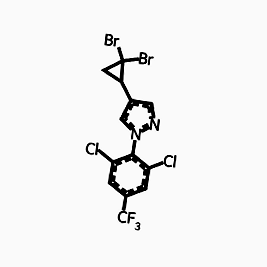 FC(F)(F)c1cc(Cl)c(-n2cc(C3CC3(Br)Br)cn2)c(Cl)c1